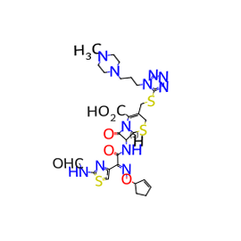 CN1CCN(CCCn2nnnc2SCC2=C(C(=O)O)N3C(=O)C(NC(=O)C(=NOC4C=CCC4)c4csc(NC=O)n4)[C@@H]3SC2)CC1